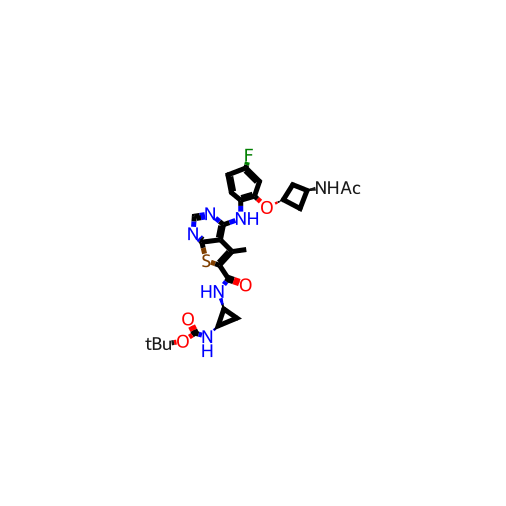 CC(=O)N[C@H]1C[C@H](Oc2cc(F)ccc2Nc2ncnc3sc(C(=O)N[C@H]4C[C@@H]4NC(=O)OC(C)(C)C)c(C)c23)C1